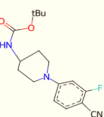 CC(C)(C)OC(=O)NC1CCN(c2ccc(C#N)c(F)c2)CC1